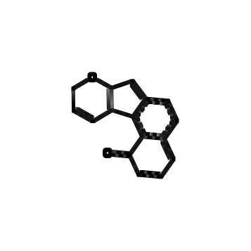 O=C1C=CC=c2ccc3c(c21)C1=C(C=3)OCC=C1